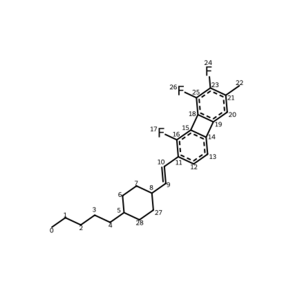 CCCCCC1CCC(/C=C/c2ccc3c(c2F)-c2c-3cc(C)c(F)c2F)CC1